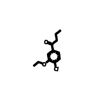 CCCC(=O)c1ccc(Cl)c(OCC)c1